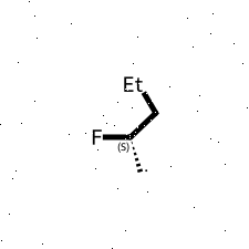 [CH2][C@H](F)CCC